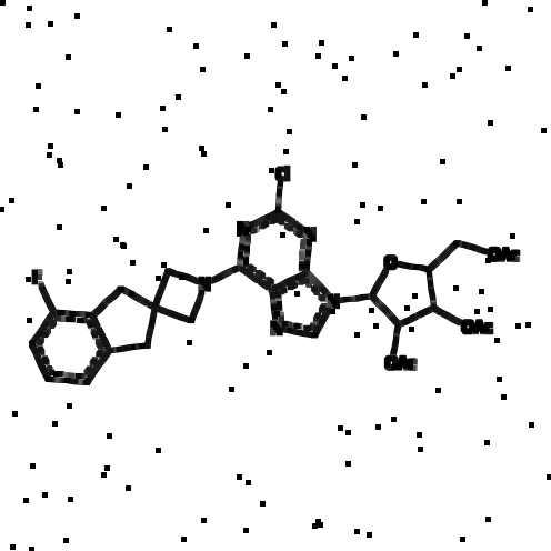 CC(=O)OCC1OC(n2cnc3c(N4CC5(Cc6cccc(F)c6C5)C4)nc(Cl)nc32)C(OC(C)=O)C1OC(C)=O